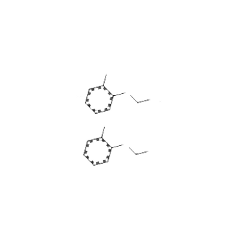 CCOc1ccccc1[O-].CCOc1ccccc1[O-].[Ba+2]